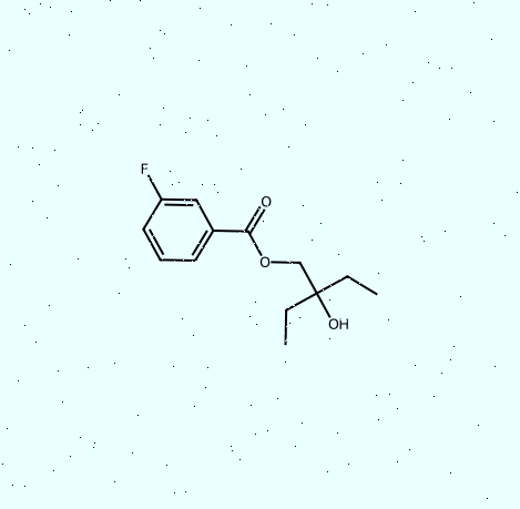 CCC(O)(CC)COC(=O)c1cccc(F)c1